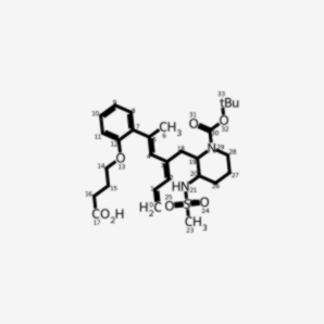 C=C/C=C(\C=C(/C)c1ccccc1OCCCC(=O)O)CC1C(NS(C)(=O)=O)CCCN1C(=O)OC(C)(C)C